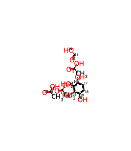 CC(=O)O.CC(=O)O.CC(=O)O.O=CO.Oc1ccc(O)c(O)c1O